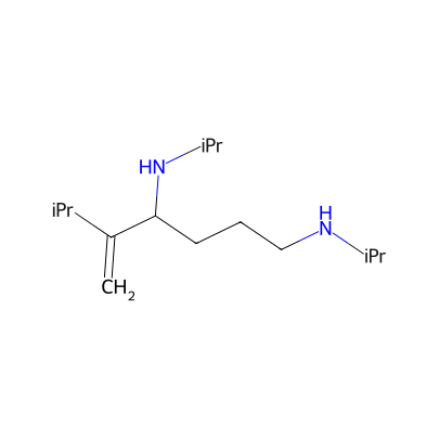 C=C(C(C)C)C(CCCNC(C)C)NC(C)C